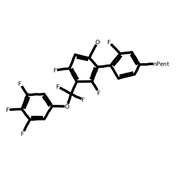 CCCCCc1ccc(-c2c([O])cc(F)c(C(F)(F)Oc3cc(F)c(F)c(F)c3)c2F)c(F)c1